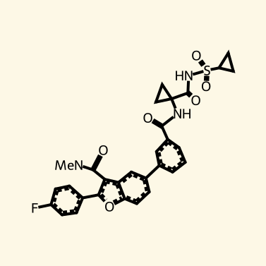 CNC(=O)c1c(-c2ccc(F)cc2)oc2ccc(-c3cccc(C(=O)NC4(C(=O)NS(=O)(=O)C5CC5)CC4)c3)cc12